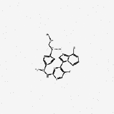 CC(C)NC[C@@H](O)c1ccc([C@H](C)Nc2ncc(F)c(-c3cnc4c(Cl)cccn34)n2)cc1